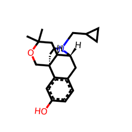 CC1(C)C[C@H]2[C@H]3Cc4ccc(O)cc4[C@@]2(CCN3CC2CC2)CO1